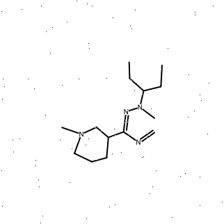 C=N/C(=N\N(C)C(CC)CC)C1CCCN(C)C1